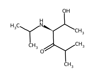 CC(C)N[C@H](C(=O)C(C)C)C(C)O